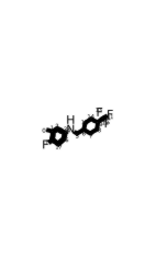 Cc1cc(NCC2CCC(C(F)(F)F)CC2)ccc1F